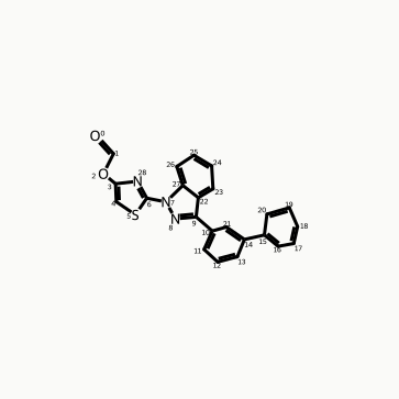 O=COc1csc(-n2nc(-c3cccc(-c4ccccc4)c3)c3ccccc32)n1